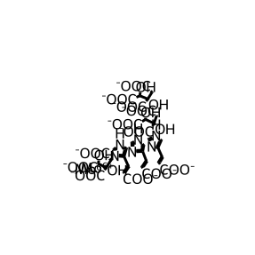 O=C([O-])C=Cc1c[nH]cn1.O=C([O-])C=Cc1c[nH]cn1.O=C([O-])C=Cc1c[nH]cn1.O=C([O-])CC(O)(C(=O)[O-])C(O)C(=O)[O-].O=C([O-])CC(O)(C(=O)[O-])C(O)C(=O)[O-].O=C([O-])CC(O)(C(=O)[O-])C(O)C(=O)[O-].[Mo+6].[Mo+6]